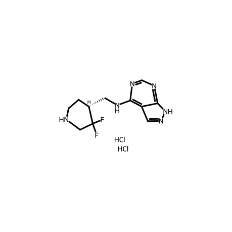 Cl.Cl.FC1(F)CNCC[C@@H]1CNc1ncnc2[nH]ncc12